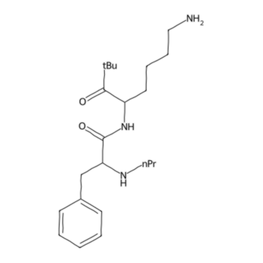 CCCNC(Cc1ccccc1)C(=O)NC(CCCCN)C(=O)C(C)(C)C